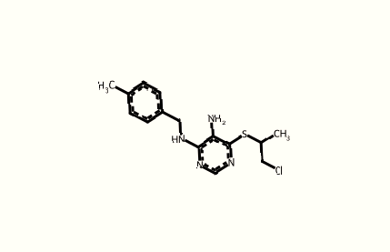 Cc1ccc(CNc2ncnc(SC(C)CCl)c2N)cc1